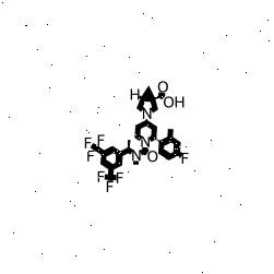 Cc1cc(F)ccc1[C@H]1C[C@@H](N2C[C@@H]3C[C@]3(C(=O)O)C2)CCN1C(=O)N(C)[C@H](C)c1cc(C(F)(F)F)cc(C(F)(F)F)c1